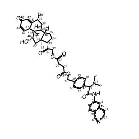 CN(C)C(C(=O)Nc1ccc2cnccc2c1)c1ccc(COC(=O)CCC(=O)OCC(=O)[C@H]2CC[C@H]3[C@@H]4C[C@H](F)C5=CC(=O)C=C[C@]5(C)[C@@]4(F)[C@@H](O)C[C@]23C)cc1